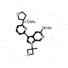 CO[C@@]1(c2cccc(-c3cn(C4(C)COC4)c4cnc(NC(C)=O)cc34)n2)CCOC1